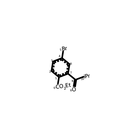 CCOC(=O)c1ccc(Br)cc1C(=O)C(C)C